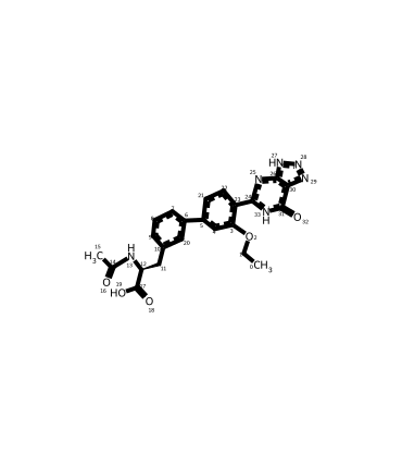 CCOc1cc(-c2cccc(C[C@H](NC(C)=O)C(=O)O)c2)ccc1-c1nc2[nH]nnc2c(=O)[nH]1